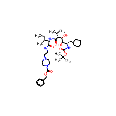 CC[C@H](C)[C@H](NC(=O)[C@H](C(C)C)[C@@H](O)[C@H](O)[C@H](CC1CCCCC1)NC(=O)OC(C)(C)C)C(=O)NCCN1CCN(C(=O)OCc2ccccc2)CC1